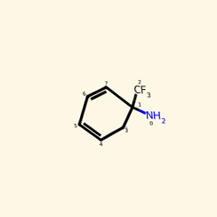 NC1(C(F)(F)F)[CH]C=CC=C1